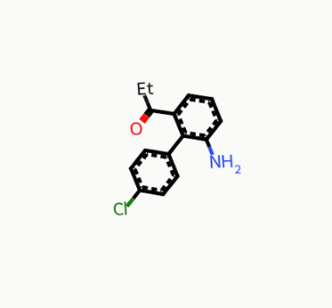 CCC(=O)c1cccc(N)c1-c1ccc(Cl)cc1